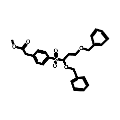 COC(=O)Cc1ccc(S(=O)(=O)C(CCOCc2ccccc2)OCc2ccccc2)cc1